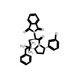 CC(C)(C)[C@H]1CC[C@@H](c2cccc(Cl)c2)N1C(=O)[C@@H](COCc1ccccc1)N1C(=O)c2ccccc2C1=O